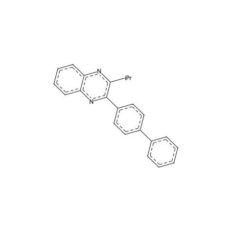 CC(C)c1nc2ccccc2nc1-c1ccc(-c2ccccc2)cc1